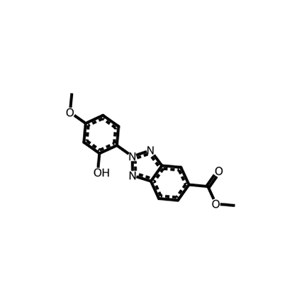 COC(=O)c1ccc2nn(-c3ccc(OC)cc3O)nc2c1